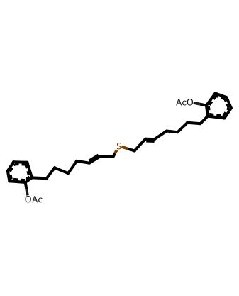 CC(=O)Oc1ccccc1CCCCC=CCSCC=CCCCCc1ccccc1OC(C)=O